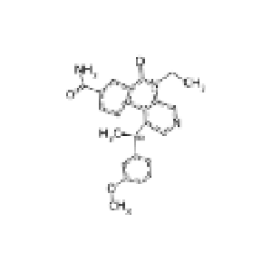 CCn1c(=O)c2cc(C(N)=O)ccc2c2c([C@H](C)c3cccc(OC)c3)cncc21